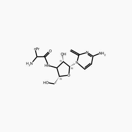 C=C1N=C(N)C=CN1[C@@H]1O[C@H](CO)C(NC(=O)C(N)CCC)[C@@H]1O